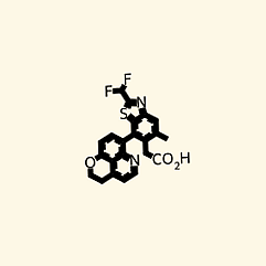 Cc1cc2nc(C(F)F)sc2c(-c2ccc3c4c(ccnc24)CCO3)c1CC(=O)O